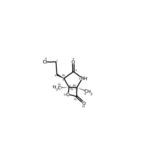 C[C@@]12NC(=O)[C@H](CCCl)[C@]1(C)OC2=O